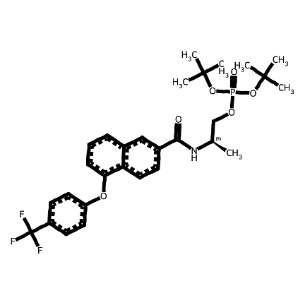 C[C@H](COP(=O)(OC(C)(C)C)OC(C)(C)C)NC(=O)c1ccc2c(Oc3ccc(C(F)(F)F)cc3)cccc2c1